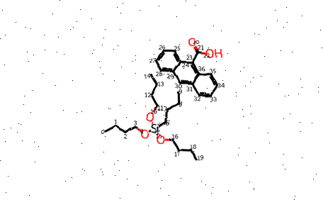 CCCCO[Si](CCCC)(OCCCC)OCCCC.O=C(O)c1c2ccccc2cc2ccccc12